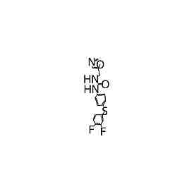 O=C(NCc1cnco1)Nc1ccc(Sc2ccc(F)c(F)c2)cc1